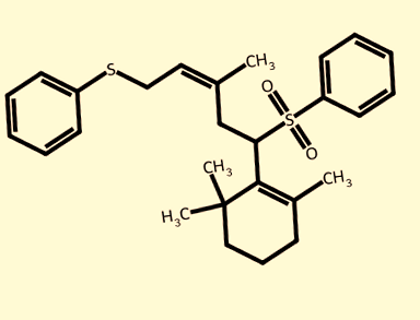 CC(=CCSc1ccccc1)CC(C1=C(C)CCCC1(C)C)S(=O)(=O)c1ccccc1